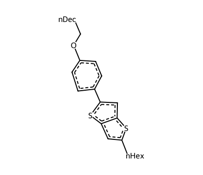 CCCCCCCCCCCOc1ccc(-c2cc3sc(CCCCCC)cc3s2)cc1